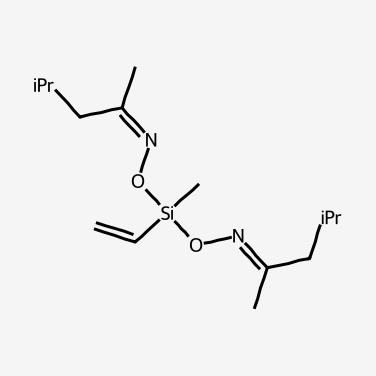 C=C[Si](C)(ON=C(C)CC(C)C)ON=C(C)CC(C)C